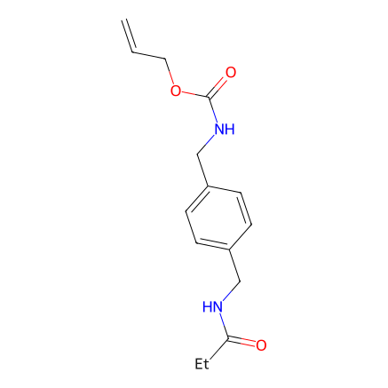 C=CCOC(=O)NCc1ccc(CNC(=O)CC)cc1